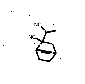 CC(C#N)C1(C#N)CC2C=CC1CC2